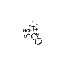 O=C(O)c1cc2cccnc2nc1C(F)(F)C(F)(F)F